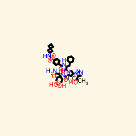 CC(C)(O)c1cnnn1[C@H]1C[C@@H](C(=O)NC2(C(=O)C(N)=O)CCS(O)(O)CC2)N(C(=O)C(CC2CCCCC2)NC(=O)c2ccc(S(=O)(=O)NC3CC4(CCC4)C3)cc2)C1